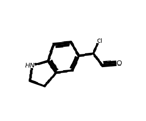 O=CC(Cl)c1ccc2c(c1)CCN2